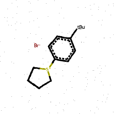 CC(C)(C)c1ccc([S+]2CCCC2)cc1.[Br-]